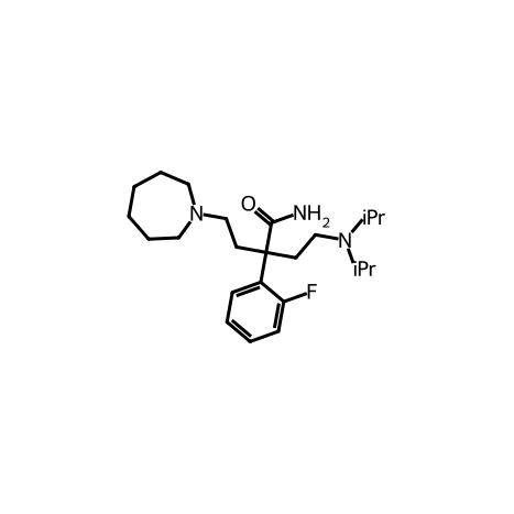 CC(C)N(CCC(CCN1CCCCCC1)(C(N)=O)c1ccccc1F)C(C)C